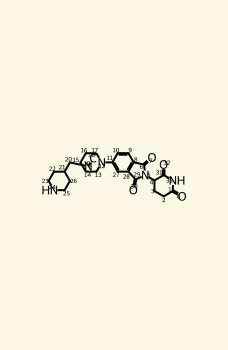 O=C1CCC(N2C(=O)c3ccc(N4CC5CCC4CN5CC4CCNCC4)cc3C2=O)C(=O)N1